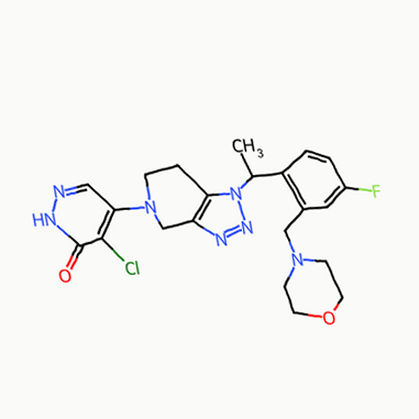 CC(c1ccc(F)cc1CN1CCOCC1)n1nnc2c1CCN(c1cn[nH]c(=O)c1Cl)C2